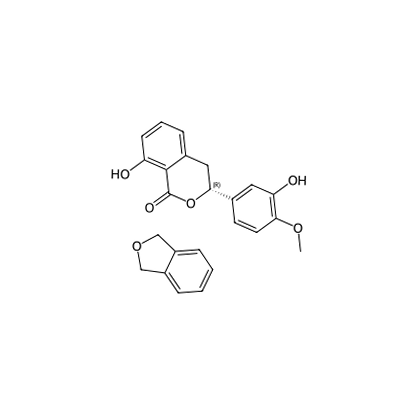 COc1ccc([C@H]2Cc3cccc(O)c3C(=O)O2)cc1O.c1ccc2c(c1)COC2